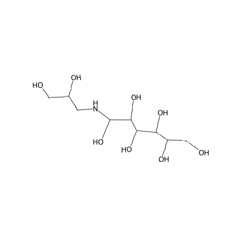 OCC(O)CNC(O)C(O)C(O)C(O)C(O)CO